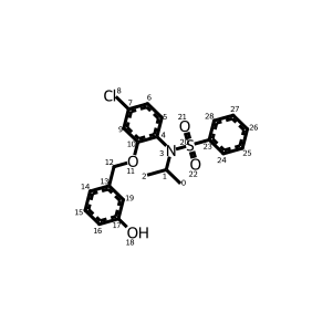 CC(C)N(c1ccc(Cl)cc1OCc1cccc(O)c1)S(=O)(=O)c1ccccc1